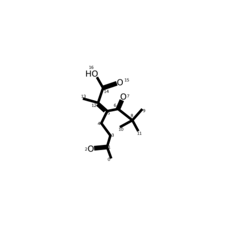 CC(=O)CC/C(C(=O)C(C)(C)C)=C(\C)C(=O)O